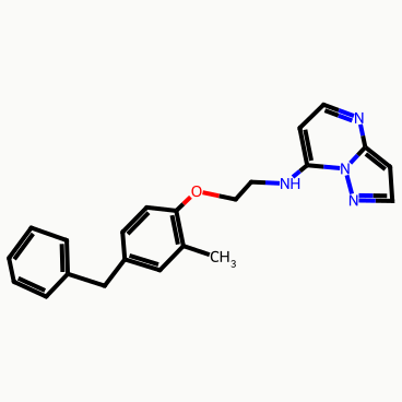 Cc1cc(Cc2ccccc2)ccc1OCCNc1ccnc2ccnn12